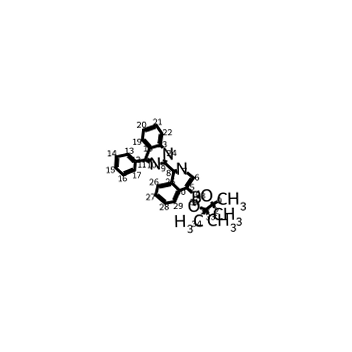 CC1(C)OB(c2cnc(-c3nc(-c4ccccc4)c4ccccc4n3)c3ccccc23)OC1(C)C